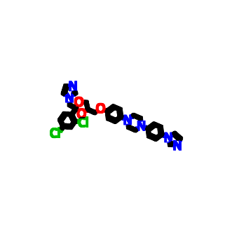 Clc1ccc(C2(Cn3ccnc3)OCC(COc3ccc(N4CCN(c5ccc(-n6ccnc6)cc5)CC4)cc3)O2)c(Cl)c1